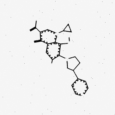 COc1c(N2CCC(c3ccncc3)C2)c(F)cc2c(=O)c(C(=O)O)cn(C3CC3)c12